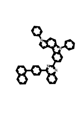 c1ccc(-n2ccc3c4c5cc(-c6nc(-c7ccc(-c8cccc9ccccc89)cc7)c7ccccc7n6)ccc5n(-c5ccccc5)c4ccc32)cc1